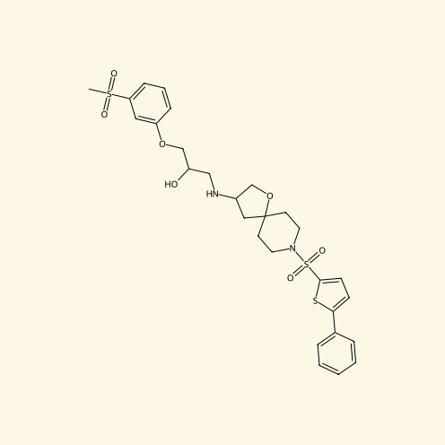 CS(=O)(=O)c1cccc(OCC(O)CNC2COC3(CCN(S(=O)(=O)c4ccc(-c5ccccc5)s4)CC3)C2)c1